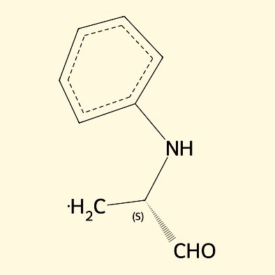 [CH2][C@@H](C=O)Nc1ccccc1